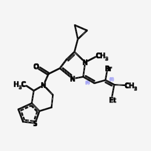 CC/C(C)=C(Br)\C=C1\N=C(C(=O)N2CCc3sccc3C2C)C=C(C2CC2)N1C